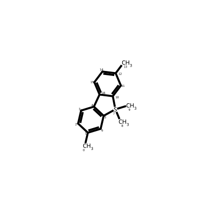 Cc1ccc2c(c1)S(C)(C)c1cc(C)ccc1-2